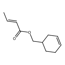 CC=CC(=O)OCC1CC=CCC1